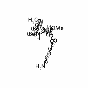 COC(=O)C[C@H](NC(=O)[C@H](CCCCNC(=O)OC(C)(C)C)NC(=O)CCCN(C(=O)OC(C)(C)C)c1cc(C)ccn1)c1ccc(-c2ccc(OCCOCCOCCOCCOCCN)c3ccccc23)cc1